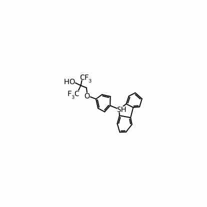 OC(COc1ccc([SH]2c3ccccc3-c3ccccc32)cc1)(C(F)(F)F)C(F)(F)F